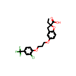 CCC1(C(=O)O)Cc2cc(OCCCOc3ccc(C(F)(F)F)cc3Cl)ccc2O1